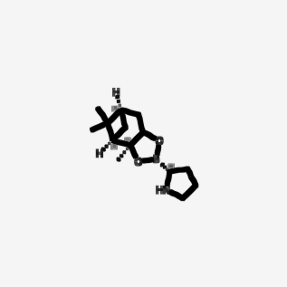 CC1(C)[C@H]2CC3OB([C@@H]4CCCN4)O[C@@]3(C)[C@@H]1C2